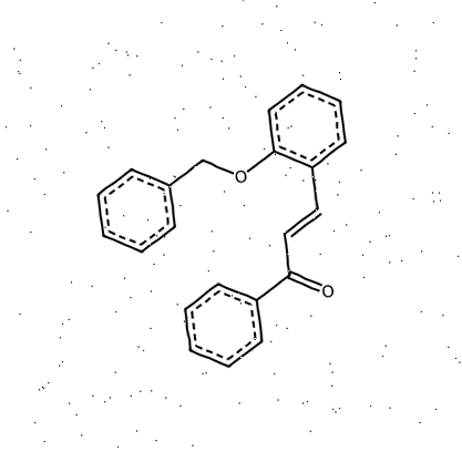 O=C(C=Cc1ccccc1OCc1ccccc1)c1ccccc1